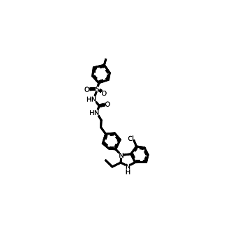 CCC1Nc2cccc(Cl)c2N1c1ccc(CCNC(=O)NS(=O)(=O)c2ccc(C)cc2)cc1